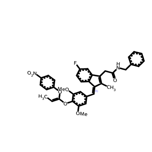 CC=C(Oc1ccc([N+](=O)[O-])cc1)Oc1c(OC)cc(/C=C2/C(C)=C(CC(=O)NCc3ccccc3)c3cc(F)ccc32)cc1OC